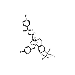 CC(F)(c1ccc2c(c1)CC[C@H]1N(C(=O)CS(=O)(=O)c3ccc(F)cc3)CC[C@@]21Cc1ccc(F)cc1)C(F)(F)F